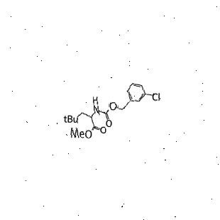 COC(=O)C(CC(C)(C)C)NC(=O)OCc1cccc(Cl)c1